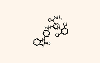 NC(=O)c1nn(-c2c(Cl)cccc2Cl)cc1Nc1ccc(-n2c(=O)sc3ccccc32)cc1